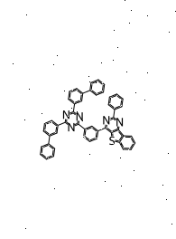 c1ccc(-c2cccc(-c3nc(-c4cccc(-c5ccccc5)c4)nc(-c4cccc(-c5nc(-c6ccccc6)nc6c5sc5ccccc56)c4)n3)c2)cc1